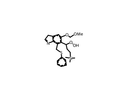 COCOc1cc2c(c(CSc3ccccc3)c1C(CC[Si](C)(C)C)OO)N=CC2